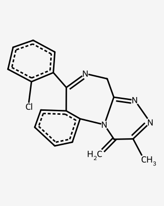 C=C1C(C)=NN=C2CN=C(c3ccccc3Cl)c3ccccc3N12